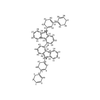 C1=CCCC(C2=CC=C(n3c4ccccc4c4c(-c5cccc6c5c5ccccc5n6C5=CC(C6=CCCC=C6)=CCC5)cccc43)CC2)=C1